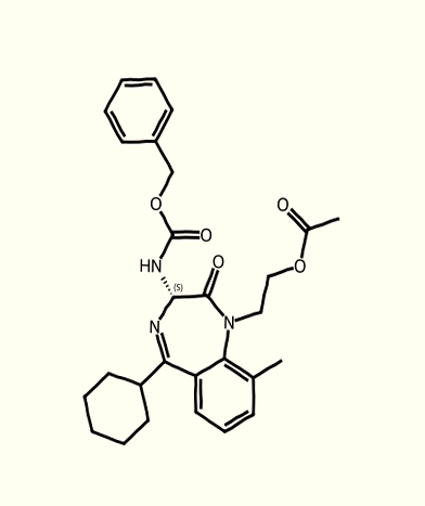 CC(=O)OCCN1C(=O)[C@@H](NC(=O)OCc2ccccc2)N=C(C2CCCCC2)c2cccc(C)c21